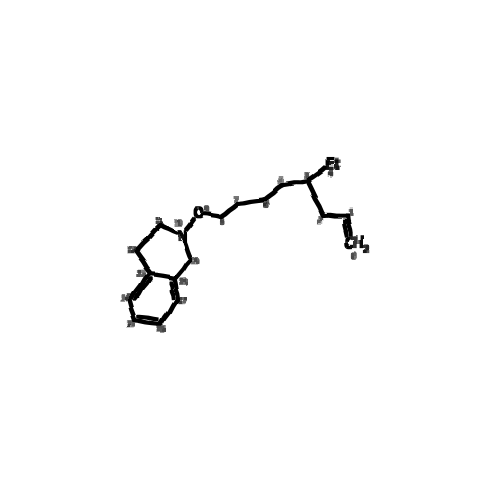 C=CCC(CC)CCCCON1CCc2ccccc2C1